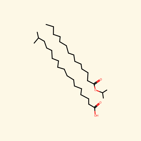 CC(C)CCCCCCCCCCCCCCC(=O)O.CCCCCCCCCCCCCC(=O)OC(C)C